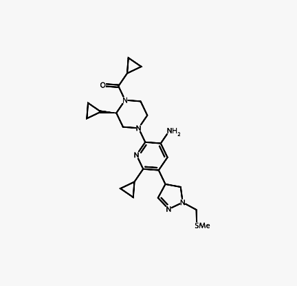 CSCN1CC(c2cc(N)c(N3CCN(C(=O)C4CC4)[C@H](C4CC4)C3)nc2C2CC2)C=N1